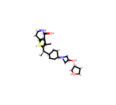 Cc1c([C@H](C)C2CCC(N3CC(O[C@@H]4CCOC4)C3)CC2)sc2c1C(=O)NCC2